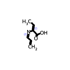 C=C/C=N\C(=C/C)C(=O)O